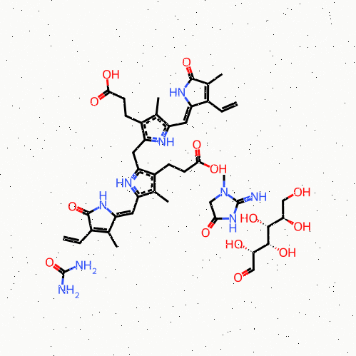 C=CC1=C(C)/C(=C/c2[nH]c(Cc3[nH]c(/C=C4\NC(=O)C(C)=C4C=C)c(C)c3CCC(=O)O)c(CCC(=O)O)c2C)NC1=O.CN1CC(=O)NC1=N.NC(N)=O.O=C[C@H](O)[C@@H](O)[C@H](O)[C@H](O)CO